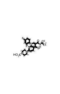 CCC(NC(=O)c1cn(-c2ccc(F)cc2F)c2nc(N3CCN(C(=O)O)CC3)ccc2c1=O)C(F)(F)F